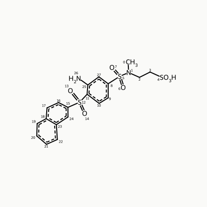 CN(CCS(=O)(=O)O)S(=O)(=O)c1ccc(S(=O)(=O)c2ccc3ccccc3c2)c(N)c1